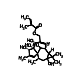 C/C=C(\C)C(=O)OCC1=C[C@@H]2C(O)[C@]3(C=C(C)[C@H](O)[C@@]3(O)[C@@H]1O)[C@H](C)C[C@]1(O)[C@H]2C1(C)C